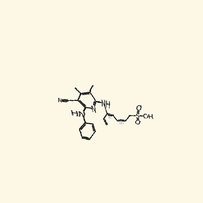 C=C/C(=C\C=C/CS(=O)(=O)O)Nc1nc(Nc2ccccc2)c(C#N)c(C)c1C